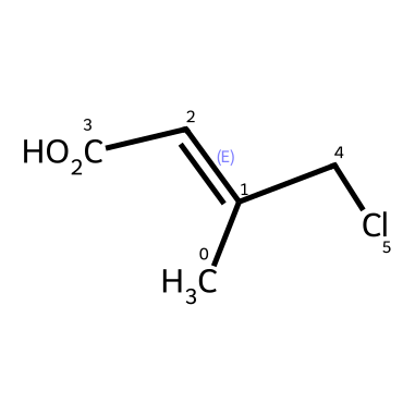 C/C(=C\C(=O)O)CCl